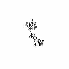 Nc1nc(-c2cc3ccn(CCC[C@H](COC(F)F)Nc4cn[nH]c(=O)c4C(F)(F)F)c(=O)c3cc2F)ccc1C(F)(F)F